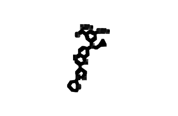 CNC(=O)c1cc(OC)cc(N(CC2CC2)c2ccc3ncc(-c4cnn(C5CCCCO5)c4)nc3c2)c1